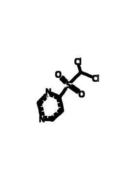 O=S(=O)(c1ccncn1)C(Cl)Cl